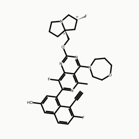 C#Cc1c(F)ccc2cc(O)cc(-c3nc(C)c4c(N5CCCOCC5)nc(OC[C@@]56CCCN5C[C@H](F)C6)nc4c3F)c12